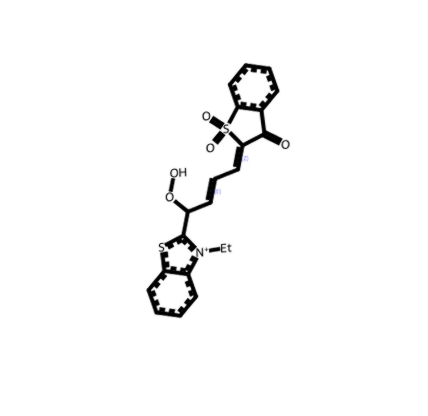 CC[n+]1c(C(/C=C/C=C2/C(=O)c3ccccc3S2(=O)=O)OO)sc2ccccc21